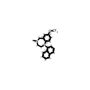 CN1CCN(c2cccc3ccccc23)c2ccc(OC(F)(F)F)cc2C1